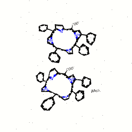 O=C([O-])c1c2nc(c(-c3ccccc3)c3ccc([nH]3)c(-c3ccccc3)c3nc(c(-c4ccccc4)c4[nH]c1cc4-c1ccccc1)C=C3)C=C2.O=C([O-])c1c2nc(c(-c3ccccc3)c3ccc([nH]3)c(-c3ccccc3)c3nc(c(-c4ccccc4)c4[nH]c1cc4-c1ccccc1)C=C3)C=C2.[Mn+2]